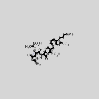 CNCCCn1c(C(Cl)(Cl)Cl)nc2c1ccc[n+]2CC1=C(C(=O)O)N2C(=O)[C@@H](NC(=O)/C(=N\O[C@@H](C)C(=O)O)c3nc(N)sc3Cl)C2SC1